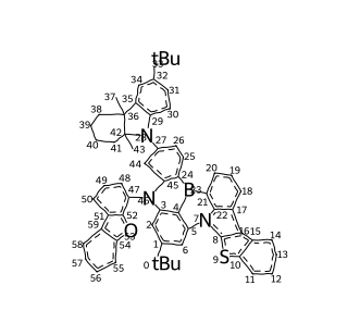 CC(C)(C)c1cc2c3c(c1)-n1c4sc5ccccc5c4c4cccc(c41)B3c1ccc(N3c4ccc(C(C)(C)C)cc4C4(C)CCCCC34C)cc1N2c1cccc2c1oc1ccccc12